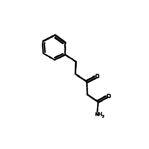 NC(=O)CC(=O)CCc1ccccc1